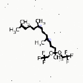 CC(C)=CCC/C(C)=C\CC/C(C)=C/CCC(C)(OCC(F)(F)F)OCC(F)(F)F